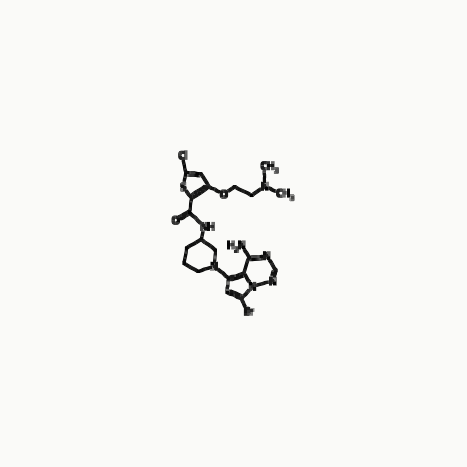 CN(C)CCOc1cc(Cl)sc1C(=O)NC1CCCN(c2cc(Br)n3ncnc(N)c23)C1